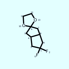 FC1(F)CC2CC3(CC2C1)OCCO3